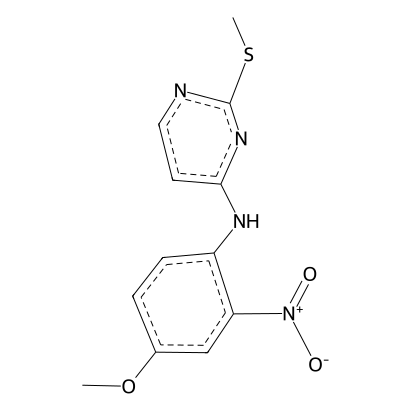 COc1ccc(Nc2ccnc(SC)n2)c([N+](=O)[O-])c1